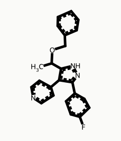 CC(OCc1ccccc1)c1[nH]nc(-c2ccc(F)cc2)c1-c1ccncc1